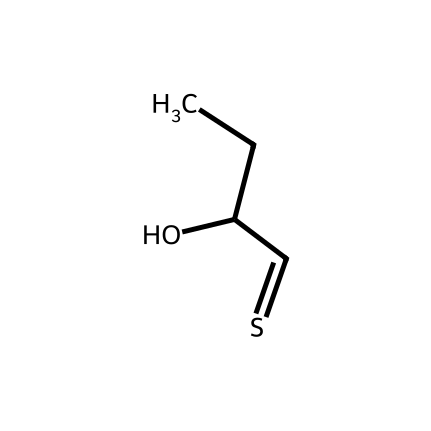 CCC(O)C=S